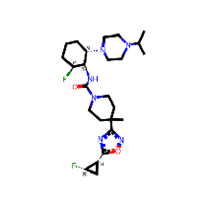 CC(C)N1CCN([C@H]2CCC[C@H](F)[C@@H]2NC(=O)N2CCC(C)(c3noc([C@@H]4C[C@@H]4F)n3)CC2)CC1